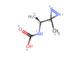 C[C@H](NC(=O)O)C1(C)N=N1